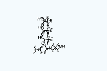 CC(C)N1CCC(N2CC3(CNC3)C2)CC1.O=C(O)C(F)(F)F.O=C(O)C(F)(F)F.O=C(O)C(F)(F)F